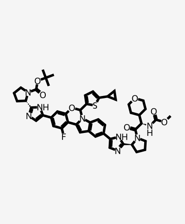 COC(=O)N[C@H](C(=O)N1CCC[C@H]1c1ncc(-c2ccc3c(c2)cc2n3C(c3ccc(C4CC4)s3)Oc3cc(-c4cnc([C@@H]5CCCN5C(=O)OC(C)(C)C)[nH]4)cc(F)c3-2)[nH]1)C1CCOCC1